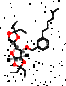 CCCCCCc1cccc(CO[C@@H]2[C@H]3OC(CC)(CC)O[C@H]3O[C@@H]2[C@H]2COC(CC)(CC)O2)c1